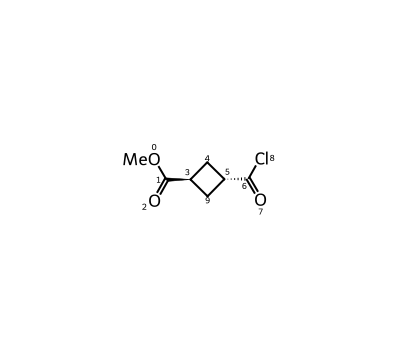 COC(=O)[C@H]1C[C@H](C(=O)Cl)C1